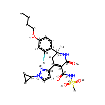 CCCCOc1ccc([C@]2(C)CC(c3ccn(C4CC4)n3)=C(C(=O)NS(C)(=O)=O)C(=O)N2)c(F)c1